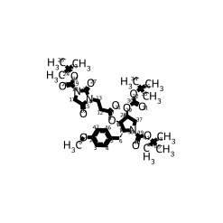 COc1ccc(C[C@@H]2[C@H](OC(=O)CCN3C(=O)CN(C(=O)OC(C)(C)C)C3=O)[C@@H](OC(=O)OC(C)(C)C)CN2C(=O)OC(C)(C)C)cc1